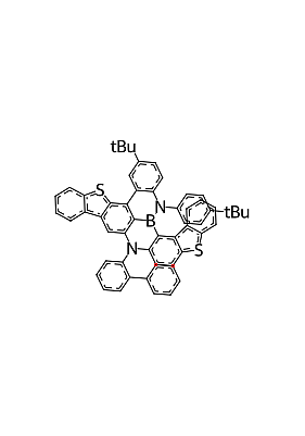 CC(C)(C)c1ccc(N2B3c4c(cc5c(sc6ccccc65)c4-c4cc(C(C)(C)C)ccc42)N(c2ccccc2-c2ccccc2)c2ccc4sc5ccccc5c4c23)cc1